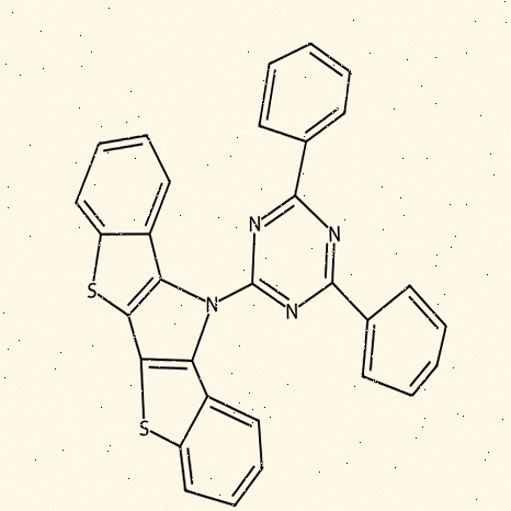 c1ccc(-c2nc(-c3ccccc3)nc(-n3c4c5ccccc5sc4c4sc5ccccc5c43)n2)cc1